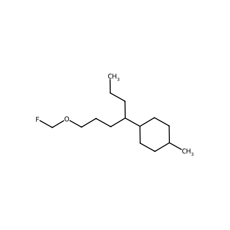 CCCC(CCCOCF)C1CCC(C)CC1